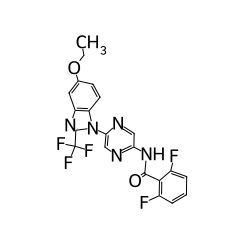 CCOc1ccc2c(c1)nc(C(F)(F)F)n2-c1cnc(NC(=O)c2c(F)cccc2F)cn1